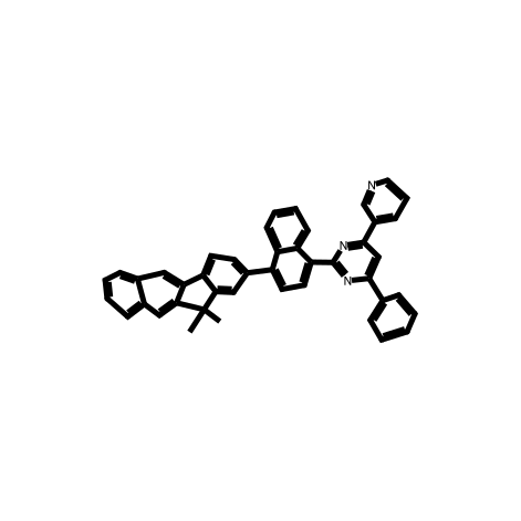 CC1(C)c2cc(-c3ccc(-c4nc(-c5ccccc5)cc(-c5cccnc5)n4)c4ccccc34)ccc2-c2cc3ccccc3cc21